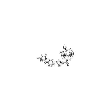 O=C1CO[C@H]2CCN(C(=O)N3CC(c4ccc(Oc5ncccn5)cc4)C3)C[C@H]2N1